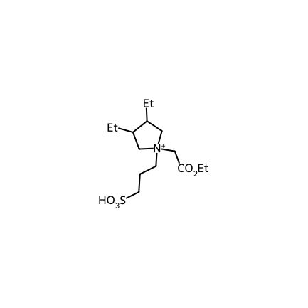 CCOC(=O)C[N+]1(CCCS(=O)(=O)O)CC(CC)C(CC)C1